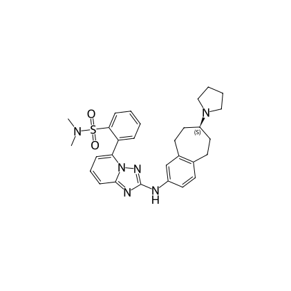 CN(C)S(=O)(=O)c1ccccc1-c1cccc2nc(Nc3ccc4c(c3)CC[C@@H](N3CCCC3)CC4)nn12